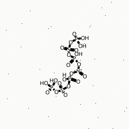 O=[N+](OP(=O)(O)OS(=O)(=O)OP(=O)(O)O)OP(=O)(O)OS(=O)(=O)OP(=O)(O)O